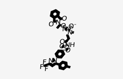 Cc1ccc(-c2cc(C(F)(F)F)nn2-c2ccc(S(=O)(=O)NC(=O)CCN(C)[N+]([O-])=NOC(C)N3C(=O)c4ccccc4C3=O)cc2)cc1